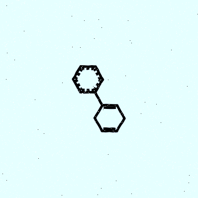 C1=CCC(c2ccccc2)=CC1